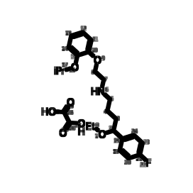 CCOC(CCCNCCOc1ccccc1OC(C)C)c1ccc(F)cc1.O=C(O)C(=O)O